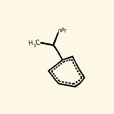 CCCC(C)c1cc[c]cc1